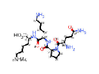 CC(=O)NCCCC[C@H](NC(=O)[C@H](CCCCN)NC(=O)[C@@H]1CCCN1C(=O)[C@@H](N)CCC(N)=O)C(=O)O